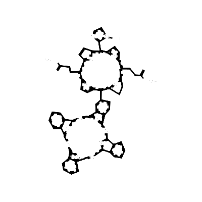 COC(=O)CCc1c2nc(c(-c3nccn3C)c3ccc([nH]3)c(CCC(=O)OC)c3nc(c(-c4ccc5c6nc7nc(nc8[nH]c(nc9nc(nc([nH]6)c5c4)-c4ccccc4-9)c4ccccc84)-c4ccccc4-7)c4ccc1[nH]4)CC3)C=C2